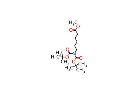 COC(=O)CCCCCN(C(=O)OC(C)(C)C)C(=O)OC(C)(C)C